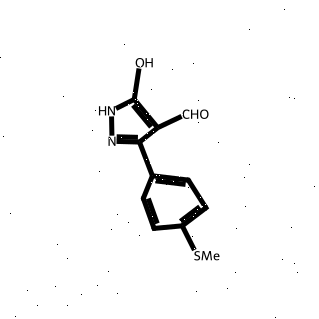 CSc1ccc(-c2n[nH]c(O)c2C=O)cc1